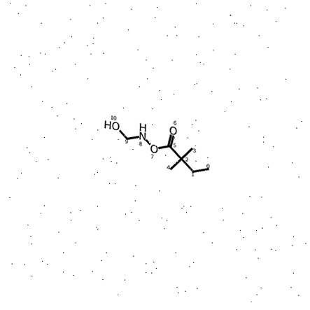 CCC(C)(C)C(=O)ONCO